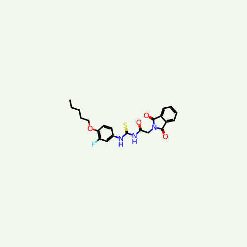 CCCCCOc1ccc(NC(=S)NC(=O)CN2C(=O)c3ccccc3C2=O)cc1F